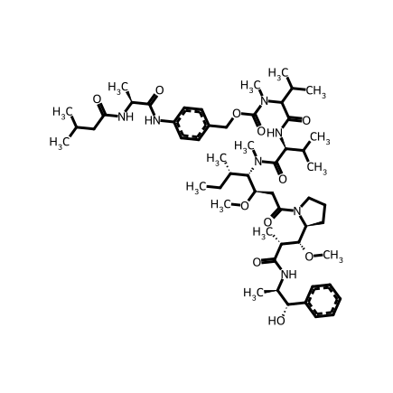 CC[C@H](C)[C@@H]([C@@H](CC(=O)N1CCC[C@H]1[C@H](OC)[C@@H](C)C(=O)N[C@H](C)[C@@H](O)c1ccccc1)OC)N(C)C(=O)[C@@H](NC(=O)C(C(C)C)N(C)C(=O)OCc1ccc(NC(=O)[C@H](C)NC(=O)CC(C)C)cc1)C(C)C